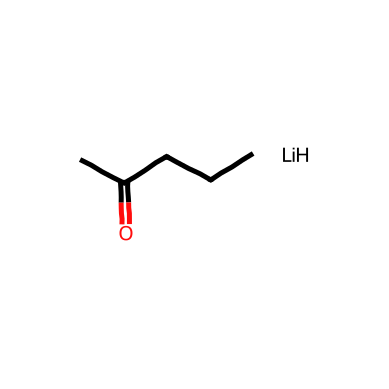 CCCC(C)=O.[LiH]